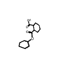 O=C(O)C1CCCCC1C(=O)OC1CCCCC1